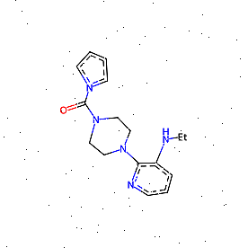 CCNc1cccnc1N1CCN(C(=O)n2cccc2)CC1